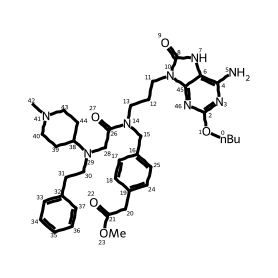 CCCCOc1nc(N)c2[nH]c(=O)n(CCCN(Cc3ccc(CC(=O)OC)cc3)C(=O)CN(CCc3ccccc3)C3CCN(C)CC3)c2n1